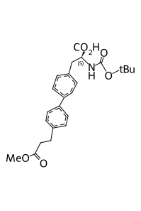 COC(=O)CCc1ccc(-c2ccc(C[C@H](NC(=O)OC(C)(C)C)C(=O)O)cc2)cc1